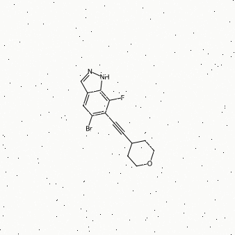 Fc1c(C#CC2CCOCC2)c(Br)cc2cn[nH]c12